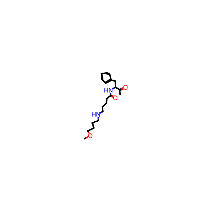 COCCCCNCCCCC(=O)NC(Cc1ccccc1)C(C)=O